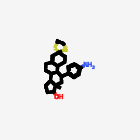 CC12CC(c3ccc(N)cc3)C3C4CCC5(C=C4CCC3C1CCC2O)SCCS5